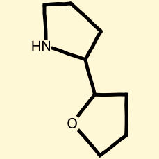 C1CNC(C2CCCO2)C1